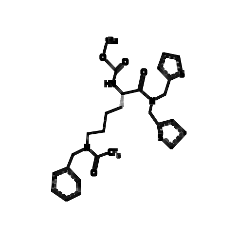 CC(C)(C)OC(=O)N[C@@H](CCCCN(Cc1ccccc1)C(=O)C(F)(F)F)C(=O)N(Cc1cccs1)Cc1cccs1